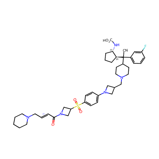 N#CC(c1cccc(F)c1)(C1CCN(CC2CN(c3ccc(S(=O)(=O)C4CN(C(=O)/C=C/CN5CCCCC5)C4)cc3)C2)CC1)[C@H]1CCC[C@@H]1NC(=O)O